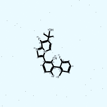 CC(C)(O)c1ccn2c(-c3ccc(F)c(-c4c(F)cccc4F)c3C#N)cnc2c1F